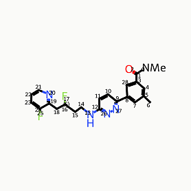 CNC(=O)c1cc(C)cc(-c2ccc(NCC[C@H](F)Cc3ncccc3F)nn2)c1